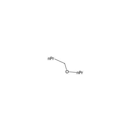 C[CH]CCOCCC